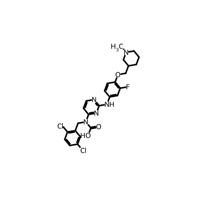 CN1CCCC(COc2ccc(Nc3nccc(N(Cc4cc(Cl)ccc4Cl)C(=O)O)n3)cc2F)C1